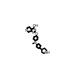 CN(c1ccc(Oc2nc(O)c3ccncc3n2)cc1)c1ccc(C2CCNCC2)cc1